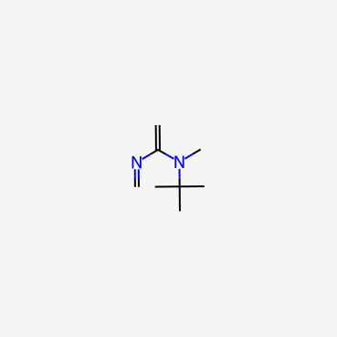 C=NC(=C)N(C)C(C)(C)C